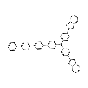 c1ccc(-c2ccc(-c3ccc(-c4ccc(N(c5ccc(-c6cc7ccccc7o6)cc5)c5ccc(-c6nc7ccccc7s6)cc5)cc4)cc3)cc2)cc1